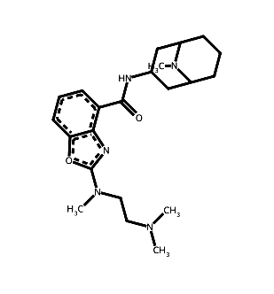 CN(C)CCN(C)c1nc2c(C(=O)NC3CC4CCCC(C3)N4C)cccc2o1